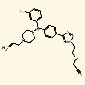 C=CCN1CCN([C@H](c2ccc(-c3nnn(CCOCC#N)n3)cc2)c2cccc(O)c2)CC1